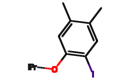 Cc1cc(I)c(OC(C)C)cc1C